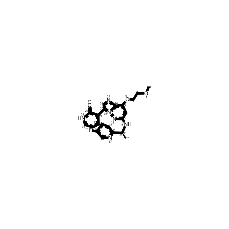 COCCOc1cc(N[C@@H](C)c2ccc(F)cn2)nn2c(-c3ccc[nH]c3=O)cnc12